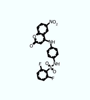 O=c1cc(Nc2ccc(NS(=O)(=O)c3c(F)cccc3F)cc2)c2cc([N+](=O)[O-])ccc2o1